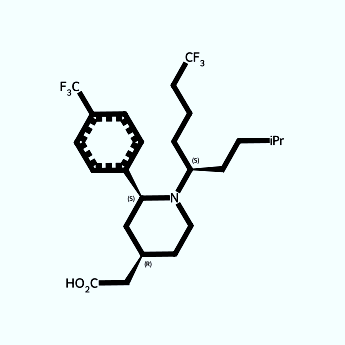 CC(C)CC[C@H](CCCC(F)(F)F)N1CC[C@@H](CC(=O)O)C[C@H]1c1ccc(C(F)(F)F)cc1